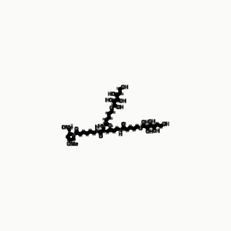 COC[C@@H]1C[C@@H](OC)CN1C(=O)CCCCCNC(=O)[C@H](CCCCNC(=O)CCCCOC(O)C(O)C(O)C(O)CCO)NC(=O)CCCCOC(O)C(O)C(O)C(O)CCO